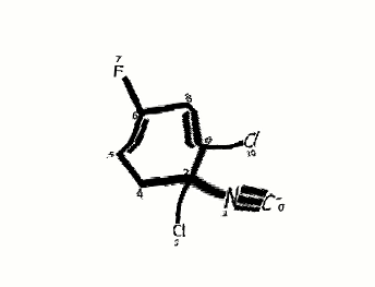 [C-]#[N+]C1(Cl)CC=C(F)C=C1Cl